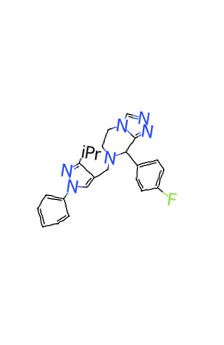 CC(C)c1nn(-c2ccccc2)cc1CN1CCn2cnnc2C1c1ccc(F)cc1